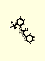 O=C(Nc1ccccc1C(F)(F)F)OC1CCCCC1